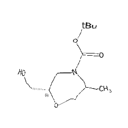 CC1CO[C@H](CO)CN1C(=O)OC(C)(C)C